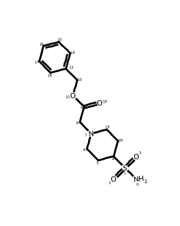 NS(=O)(=O)C1CCN(CC(=O)OCc2ccccc2)CC1